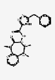 C[C@@H]1[C@H](NC(=O)c2nnc(Cc3ccccc3)[nH]2)C(=O)N(C)c2ncccc2[C@@H]1C